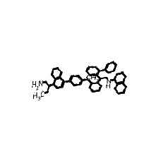 CCC(CN)C1CC=C(C2CCC(C(C)C3CCCCC3C(CNC3CCCC4=C3CCCC4)C3=CCCCC3C3=CCCCC3)CC2)C2=C1CCCC2